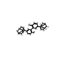 Fc1ccc(C2C3CC4CC(C3)CC2C4)cc1-c1cc(C2C3CC4CC(C3)CC2C4)ccc1F